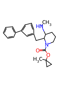 CNC1CCCN(C(=O)OC2(C)CC2)C1Cc1cccc(-c2ccccc2)c1